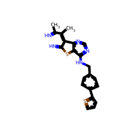 CC(=N)/C(C)=C1\C(=N)Sc2c(NCc3ccc(-c4cccs4)cc3)ncnc21